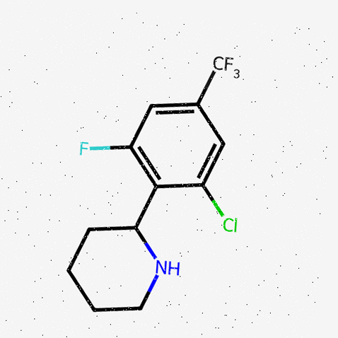 Fc1cc(C(F)(F)F)cc(Cl)c1C1CCCCN1